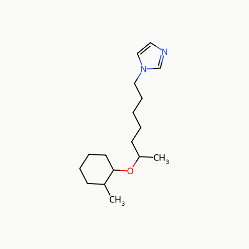 CC(CCCCCn1ccnc1)OC1CCCCC1C